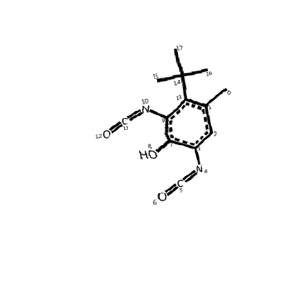 Cc1cc(N=C=O)c(O)c(N=C=O)c1C(C)(C)C